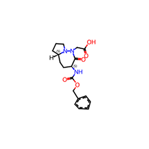 O=C(O)CN1C(=O)[C@@H](NC(=O)OCc2ccccc2)CC[C@@H]2CCCN21